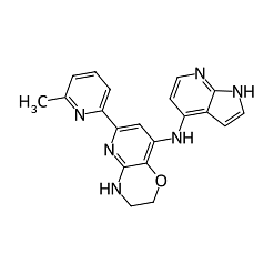 Cc1cccc(-c2cc(Nc3ccnc4[nH]ccc34)c3c(n2)NCCO3)n1